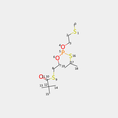 CSCCOP(OCCSC(=O)C(C)(C)C)SC(C)C